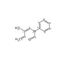 C=C/C(C)=C\N(C=O)c1ccccc1